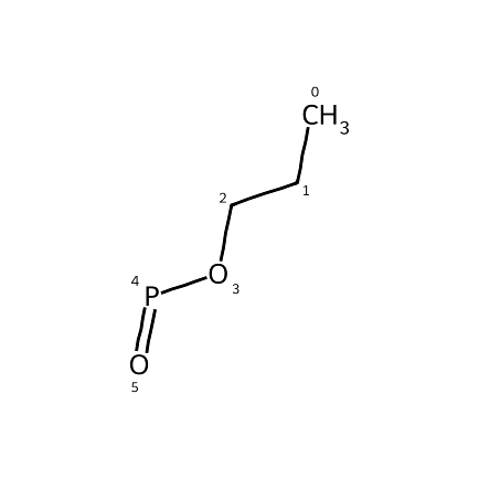 CCCOP=O